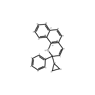 C1=CC(c2ccccc2)(C2CC2)Oc2c1ccc1ccccc21